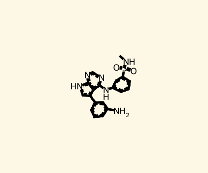 CNS(=O)(=O)c1cccc(Nc2ncnc3[nH]cc(-c4cccc(N)c4)c23)c1